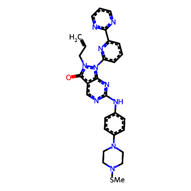 C=CCn1c(=O)c2cnc(Nc3ccc(N4CCN(SC)CC4)cc3)nc2n1-c1cccc(-c2ncccn2)n1